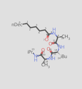 CCCCCCCCCCCCCCCC(=O)N[C@@H](C)C(=O)N[C@H](C(=O)N[C@@H](C)C(=O)NC(C)C)[C@@H](C)CC